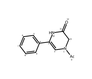 CC(=O)N1C=C(c2ccccc2)NC(=O)C1